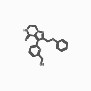 O=C1NCCn2nc(COc3ccccc3)c(-c3cccc(CO)n3)c21